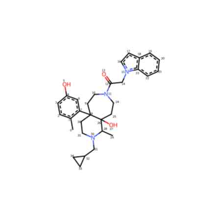 Cc1ccc(O)cc1C12CCN(C(=O)Cn3ccc4ccccc43)CCC1(O)C(C)N(CC1CC1)CC2